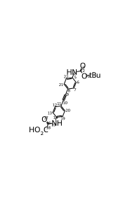 CC(C)(C)OC(=O)Nc1ccc(C#Cc2ccc(NC(=O)C(=O)O)cc2)cc1